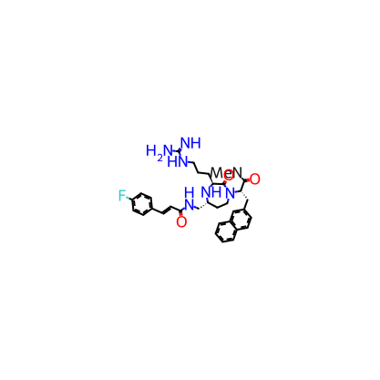 CNC(=O)[C@H](Cc1ccc2ccccc2c1)N1CC[C@H](CNC(=O)/C=C/c2ccc(F)cc2)N[C@@H](CCCNC(=N)N)C1=O